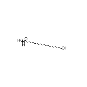 O=C(CCCCCCCCCCCCCCCCCCCO)NO